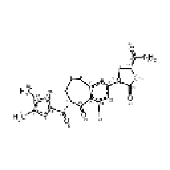 Cc1cc(C(=O)[C@@H]2CCCc3cc(N4C[C@@H](C(N)=O)OC4=O)cc(F)c3C2=O)nn1C